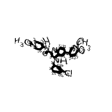 CN1CCC(NC(=O)c2cc(NCc3cccc(Cl)c3)c3cc(-c4ccc(=O)n(C)c4)ccc3n2)CC1